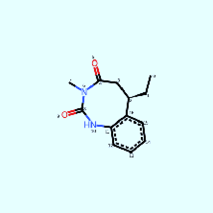 CC[C@@H]1CC(=O)N(C)C(=O)Nc2ccccc21